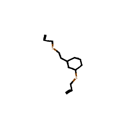 C=CCSCCC1CCCC(SCC=C)C1